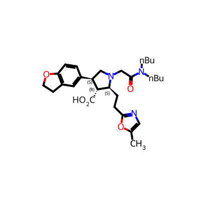 CCCCN(CCCC)C(=O)CN1C[C@H](c2ccc3c(c2)CCO3)[C@@H](C(=O)O)[C@@H]1CCc1ncc(C)o1